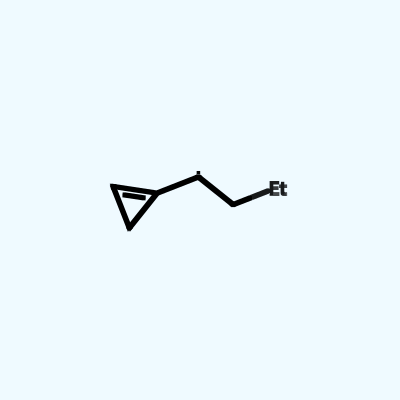 CCC[CH]C1=CC1